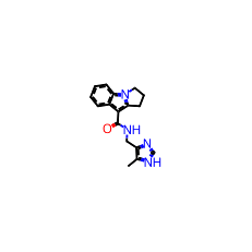 Cc1[nH]cnc1CNC(=O)c1c2n(c3ccccc13)CCC2